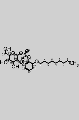 CCCCCCCCCOc1ccccc1OS(=O)(=O)O[C@@H]1O[C@H](CO)[C@@H](O)[C@H](O)[C@@H]1O